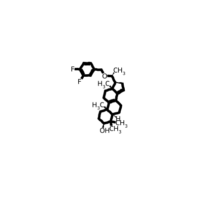 C[C@@H](OCc1ccc(F)c(F)c1)[C@H]1CC=C2C3=C(CC[C@@]21C)[C@@]1(C)CC[C@H](O)C(C)(C)[C@@H]1CC3